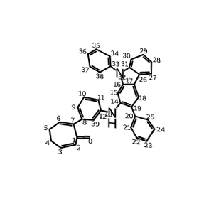 C=C1C=CCCC=C1c1cccc(Nc2cc3c(cc2-c2ccccc2)c2ccccc2n3-c2ccccc2)c1